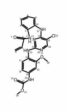 C=CC(=O)Nc1ccccc1Nc1nc(Nc2ccc(NC(=O)OC)cc2OC)ncc1Cl